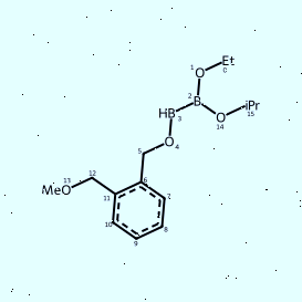 CCOB(BOCc1ccccc1COC)OC(C)C